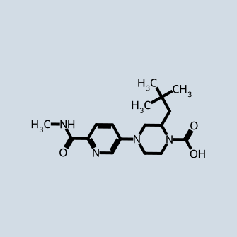 CNC(=O)c1ccc(N2CCN(C(=O)O)C(CC(C)(C)C)C2)cn1